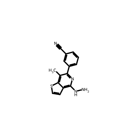 Cc1c(-c2cccc(C#N)c2)nc(NN)c2ccsc12